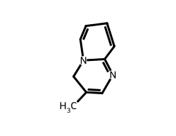 CC1=CN=C2C=CC=CN2C1